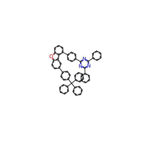 c1ccc(-c2nc(-c3ccccc3)nc(-c3ccc(-c4cccc5oc6ccc(-c7ccc(C(c8ccccc8)(c8ccccc8)c8ccccc8)cc7)cc6c45)cc3)n2)cc1